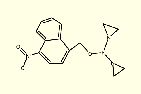 O=[N+]([O-])c1ccc(COP(N2CC2)N2CC2)c2ccccc12